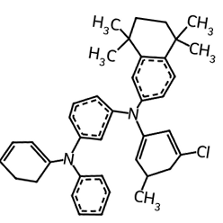 CC1C=C(N(c2cccc(N(C3=CC=CCC3)c3ccccc3)c2)c2ccc3c(c2)C(C)(C)CCC3(C)C)C=C(Cl)C1